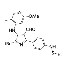 CCSNc1ccc(-c2nn(C(C)(C)C)c(Nc3cc(OC)ncc3C)c2C=O)cc1